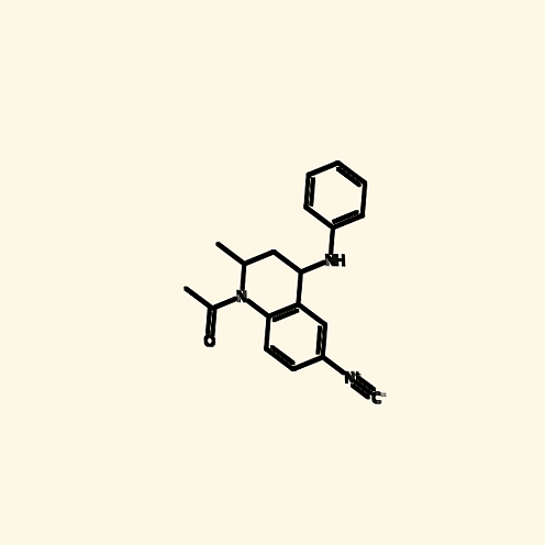 [C-]#[N+]c1ccc2c(c1)C(Nc1ccccc1)CC(C)N2C(C)=O